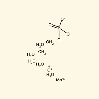 O.O.O.O.O.O.O.O.O=P([O-])([O-])[O-].[Mn+3]